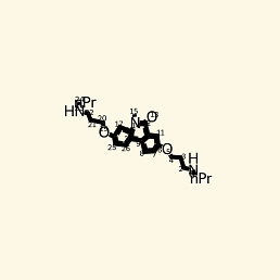 CCCNCCCOc1ccc2c(c1)c(=O)n(C)c1cc(OCCCNCCC)ccc21